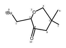 CC(C)(C)CC1OCC(C)(C)CC1=O